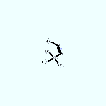 C/C=C\[Si](C)(C)C